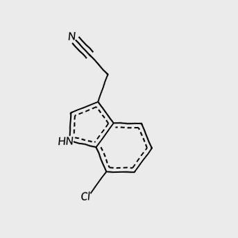 N#CCc1c[nH]c2c(Cl)cccc12